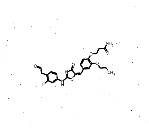 CCCOc1cc(C=C2SC(Nc3ccc(C[C]=O)c(F)c3)=NC2=O)ccc1OCCC(N)=O